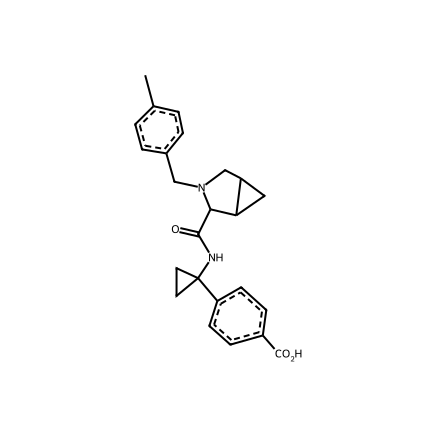 Cc1ccc(CN2CC3CC3C2C(=O)NC2(c3ccc(C(=O)O)cc3)CC2)cc1